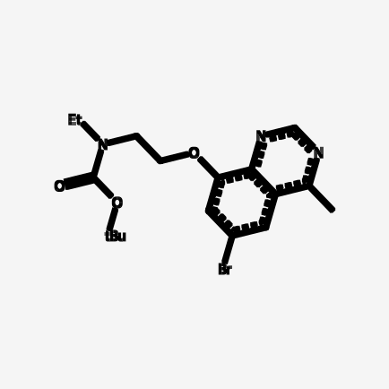 CCN(CCOc1cc(Br)cc2c(C)ncnc12)C(=O)OC(C)(C)C